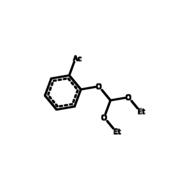 CCOC(OCC)Oc1ccccc1C(C)=O